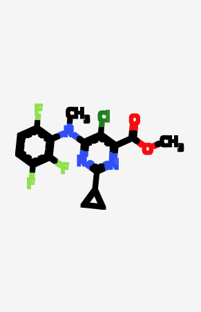 COC(=O)c1nc(C2CC2)nc(N(C)c2c(F)ccc(F)c2F)c1Cl